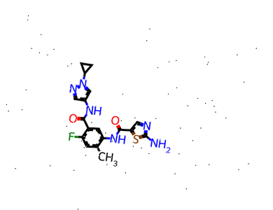 Cc1cc(F)c(C(=O)Nc2cnn(C3CC3)c2)cc1NC(=O)c1cnc(N)s1